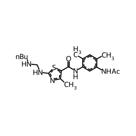 CCCCNCNc1nc(C)c(C(=O)Nc2cc(NC(C)=O)c(C)cc2C)s1